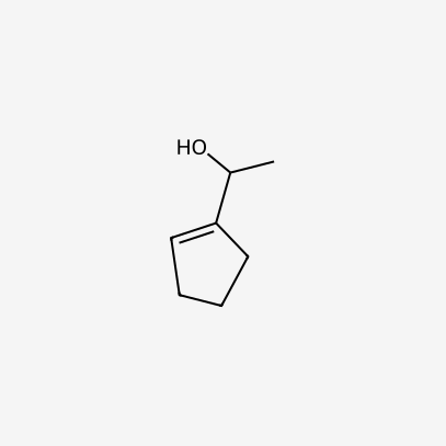 CC(O)C1=CCCC1